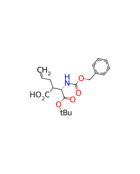 C=CCC(C(=O)O)[C@H](NC(=O)OCc1ccccc1)C(=O)OC(C)(C)C